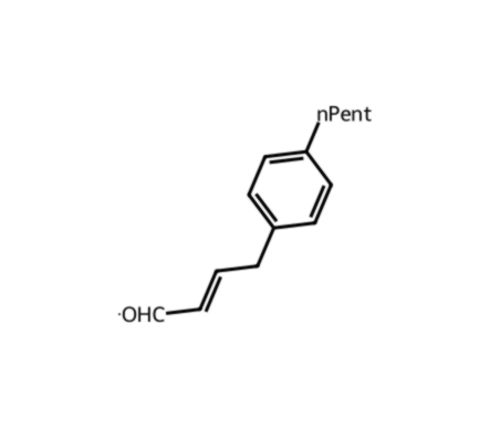 CCCCCc1ccc(CC=C[C]=O)cc1